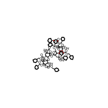 CC(C)(C[C@H]1[C@H](O[C@@H]2[C@H]3OC(=O)N[C@@H]3C[C@H](NC(=O)OCc3ccccc3)[C@H]2O[C@H]2O[C@@H]3COC(c4ccccc4)O[C@H]3[C@@H](O)[C@H]2NC(=O)OCc2ccccc2)O[C@H](CO[Si](c2ccccc2)(c2ccccc2)C(C)(C)C)[C@H]1O[C@H]1O[C@H]2CN(C(=O)OCc3ccccc3)C(c3ccccc3)O[C@H]2[C@H](O)[C@H]1NC(=O)OCc1ccccc1)[Si](O)(c1ccccc1)c1ccccc1